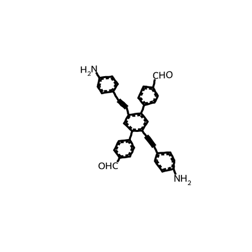 Nc1ccc(C#Cc2cc(-c3ccc(C=O)cc3)c(C#Cc3ccc(N)cc3)cc2-c2ccc(C=O)cc2)cc1